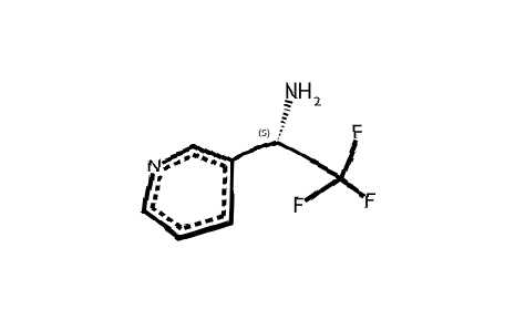 N[C@@H](c1cccnc1)C(F)(F)F